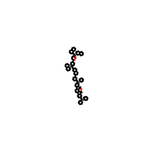 C=C(/C=C\C(=C/C)N(c1ccc2ccccc2c1)c1cccc2ccccc12)c1ccc(N(c2ccc3ccc(-c4cccc(N(c5ccccc5)c5ccc6c(c5)C(C)(C)c5c-6ccc6c5C(C)(C)c5cc(N(c7ccccc7)c7ccccc7)ccc5-6)c4)cc3c2)c2cccc3ccccc23)cc1